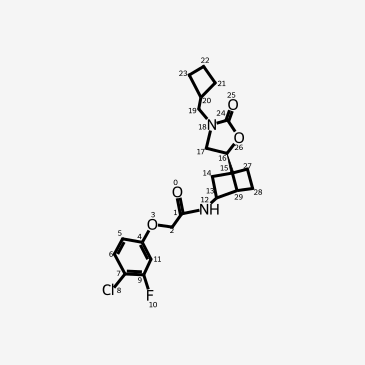 O=C(COc1ccc(Cl)c(F)c1)NC1CC2([C@H]3CN(CC4CCC4)C(=O)O3)CCC12